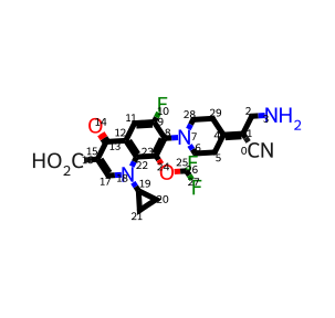 N#CC(CN)=C1CCN(c2c(F)cc3c(=O)c(C(=O)O)cn(C4CC4)c3c2OC(F)F)CC1